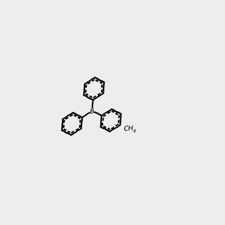 C.c1ccc(B(c2ccccc2)c2ccccc2)cc1